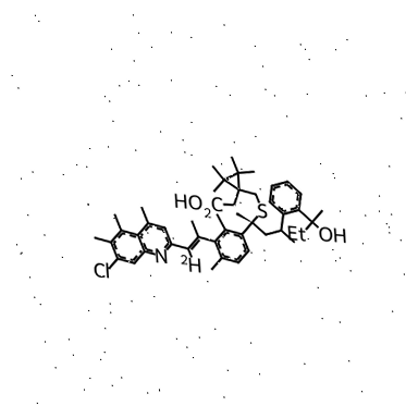 [2H]/C(=C(/C)c1c(C)ccc([C@@](C)(CC(C)c2ccccc2C(C)(O)CC)SCC2(CC(=O)O)C(C)(C)C2(C)C)c1C)c1cc(C)c2c(C)c(C)c(Cl)cc2n1